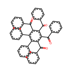 O=C(c1ccccc1)c1c(C(=O)c2ccccc2)c(C(=O)c2ccccc2)c(-c2ccccc2)c(-c2ccccc2)c1C(=O)c1ccccc1